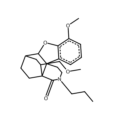 CCCN1CCC23c4cccc(OC)c4OC2C2CCC3(C1=O)C(COC)C2